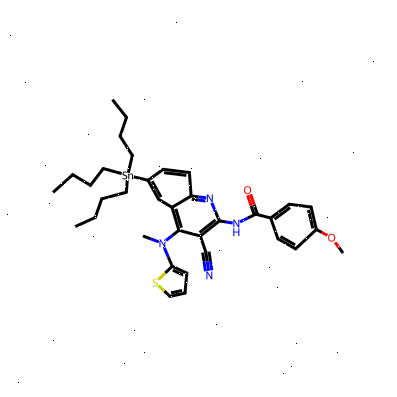 CCC[CH2][Sn]([CH2]CCC)([CH2]CCC)[c]1ccc2nc(NC(=O)c3ccc(OC)cc3)c(C#N)c(N(C)c3cccs3)c2c1